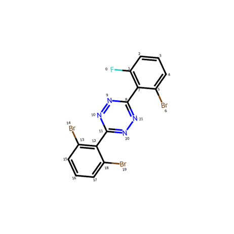 Fc1cccc(Br)c1-c1nnc(-c2c(Br)cccc2Br)nn1